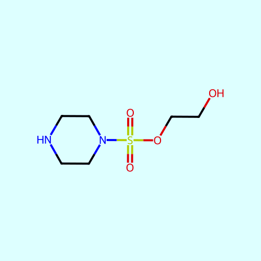 O=S(=O)(OCCO)N1CCNCC1